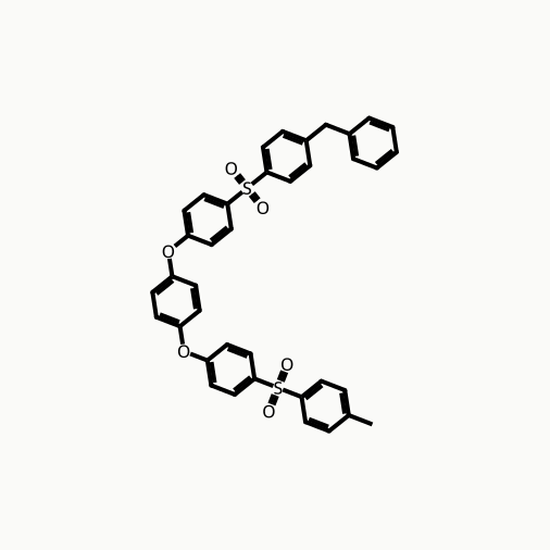 Cc1ccc(S(=O)(=O)c2ccc(Oc3ccc(Oc4ccc(S(=O)(=O)c5ccc(Cc6ccccc6)cc5)cc4)cc3)cc2)cc1